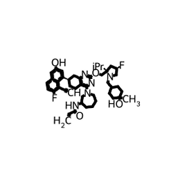 C#Cc1c(F)ccc2cc(O)cc([C@@H]3CCc4c(nc(OC[C@]5(C(C)C)C[C@@H](F)CN5CC5CCC(C)(O)CC5)nc4N4CCCCC(NC(=O)C=C)C4)C3)c12